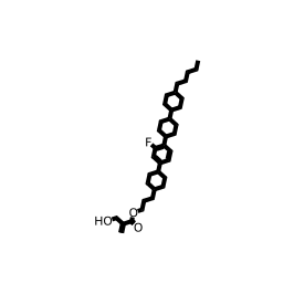 C=C(CO)C(=O)OCCCC1CCC(c2ccc(C3CCC(C4CCC(CCCCC)CC4)CC3)c(F)c2)CC1